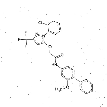 COc1cc(NC(=O)COc2cc(C(F)(F)F)nn2C2=CC=CCC2Cl)ccc1-c1ccccc1